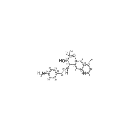 Cc1ccnc2cc3c(cc12)OC(C)(C)C(O)C3NCCc1ccc(N)cc1